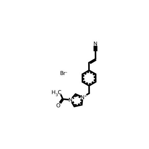 CC(=O)n1cc[n+](Cc2ccc(C=CC#N)cc2)c1.[Br-]